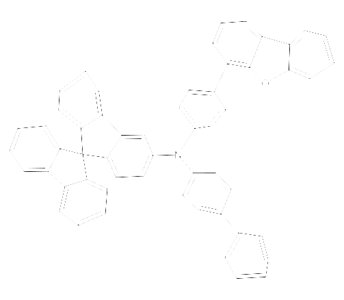 c1ccc(-c2ccc(N(c3ccc(-c4cccc5c4oc4ccccc45)cc3)c3ccc4c(c3)-c3ccccc3C43c4ccccc4-c4ccccc43)cc2)cc1